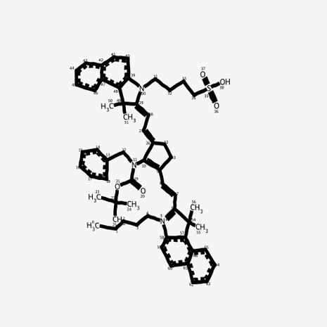 CCCCC[N+]1=C(/C=C/C2=C(N(Cc3ccccc3)C(=O)OC(C)(C)C)C(=C/C=C3/N(CCCCS(=O)(=O)O)c4ccc5ccccc5c4C3(C)C)/CC2)C(C)(C)c2c1ccc1ccccc21